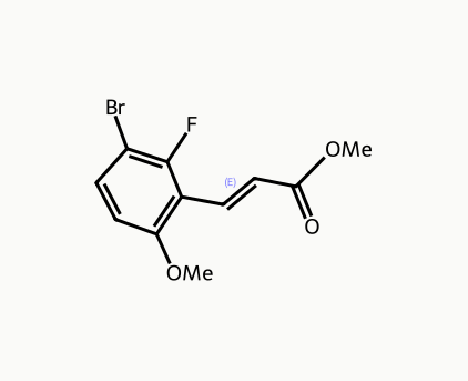 COC(=O)/C=C/c1c(OC)ccc(Br)c1F